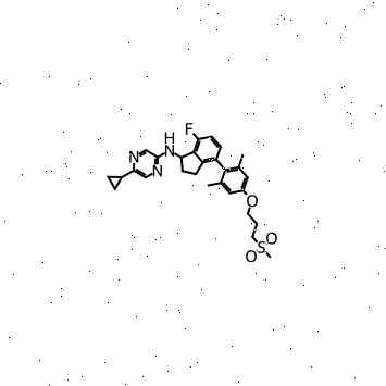 Cc1cc(OCCCS(C)(=O)=O)cc(C)c1-c1ccc(F)c2c1CCC2Nc1cnc(C2CC2)cn1